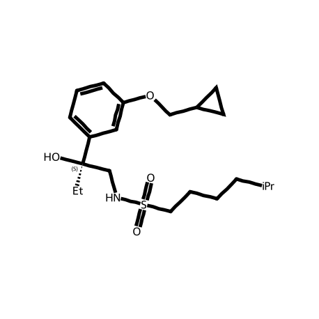 CC[C@@](O)(CNS(=O)(=O)CCCCC(C)C)c1cccc(OCC2CC2)c1